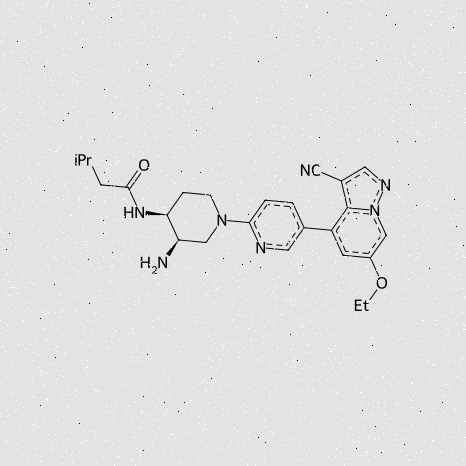 CCOc1cc(-c2ccc(N3CC[C@H](NC(=O)CC(C)C)[C@H](N)C3)nc2)c2c(C#N)cnn2c1